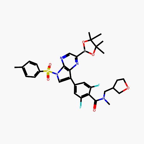 Cc1ccc(S(=O)(=O)n2cc(-c3cc(F)c(C(=O)N(C)CC4CCOC4)c(F)c3)c3nc(B4OC(C)(C)C(C)(C)O4)cnc32)cc1